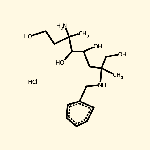 CC(CO)(CC(O)C(O)C(C)(N)CCO)NCc1ccccc1.Cl